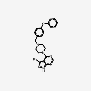 Brc1n[nH]c2ncnc(N3CCN(Cc4ccc(Oc5ccccc5)cc4)CC3)c12